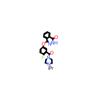 CC(C)N1CCN(C(=O)c2cc(Oc3n[nH]c(=O)c4ccccc34)ccc2F)CC1